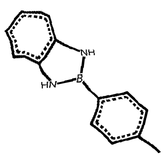 Cc1ccc(B2Nc3ccccc3N2)cc1